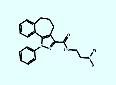 CCN(CC)CCNC(=O)c1nn(-c2ccccc2)c2c1CCCc1ccccc1-2